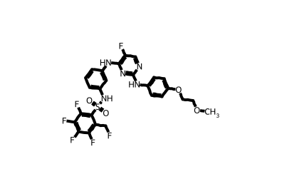 COCCOc1ccc(Nc2ncc(F)c(Nc3cccc(NS(=O)(=O)c4c(F)c(F)c(F)c(F)c4CF)c3)n2)cc1